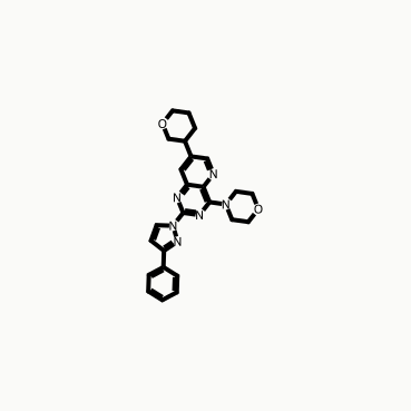 c1ccc(-c2ccn(-c3nc(N4CCOCC4)c4ncc(C5CCCOC5)cc4n3)n2)cc1